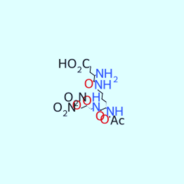 CC(=O)C(=O)N[C@@H](CCCCNC(=O)C(N)CCC(=O)O)C(=O)NC[C@H](CO[N+](=O)[O-])O[N+](=O)[O-]